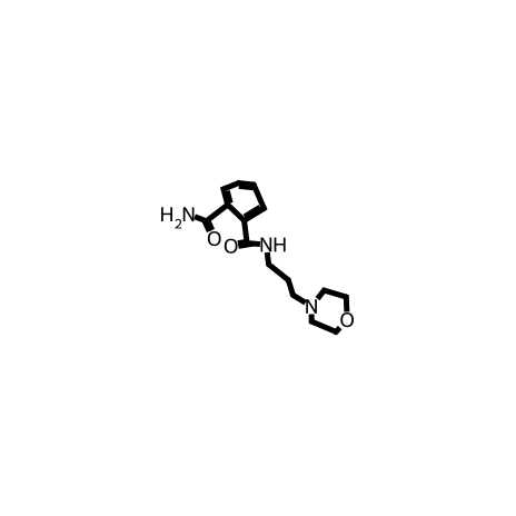 NC(=O)c1ccccc1C(=O)NCCCN1CCOCC1